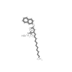 Br.CCCCCCCCCCCCC(CC(=O)Oc1ccc2ccccc2c1)C(C)(C)N